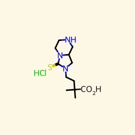 CC(C)(CCN1CC2CNCCN2C1=S)C(=O)O.Cl